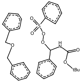 CC(C)(C)OC(=O)NC(OOS(=O)(=O)c1ccccc1)c1ccccc1.c1ccc(COCc2ccccc2)cc1